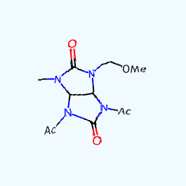 COCN1C(=O)N(C)C2C1N(C(C)=O)C(=O)N2C(C)=O